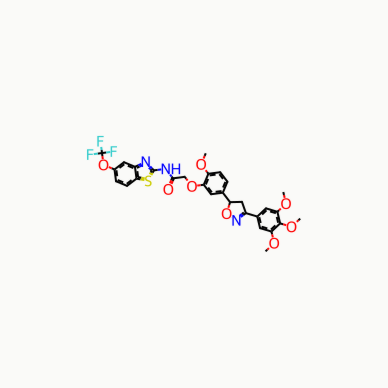 COc1ccc(C2CC(c3cc(OC)c(OC)c(OC)c3)=NO2)cc1OCC(=O)Nc1nc2cc(OC(F)(F)F)ccc2s1